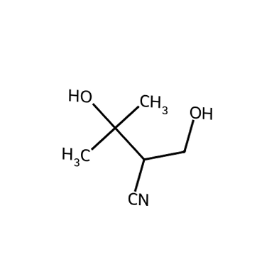 CC(C)(O)C(C#N)CO